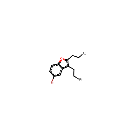 CC(=O)CCc1oc2ccc(Br)cc2c1CCC(C)C